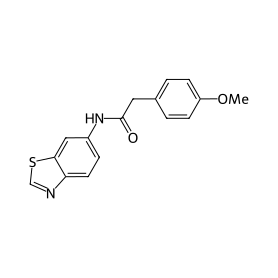 COc1ccc(CC(=O)Nc2ccc3ncsc3c2)cc1